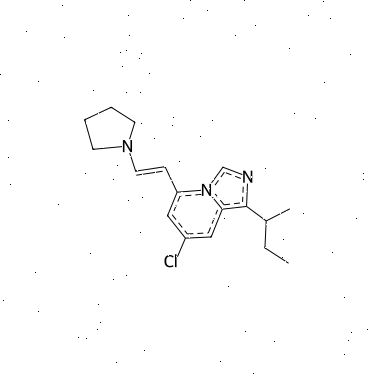 CCC(C)c1ncn2c(C=CN3CCCC3)cc(Cl)cc12